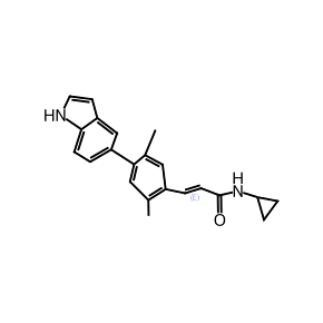 Cc1cc(-c2ccc3[nH]ccc3c2)c(C)cc1/C=C/C(=O)NC1CC1